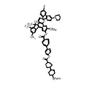 CCCCCC1CCC(C2CCC(C(=O)Oc3ccc(-c4ccc(C(=O)Oc5cc6c7c(c8c(c6cc5OC)OC(c5ccc(F)cc5)(c5ccc(N6CCCCC6)cc5)C=C8)C(C)(C)c5c-7cc(C)cc5C(F)(F)F)cc4)cc3)CC2)CC1